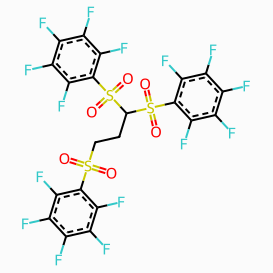 O=S(=O)(CCC(S(=O)(=O)c1c(F)c(F)c(F)c(F)c1F)S(=O)(=O)c1c(F)c(F)c(F)c(F)c1F)c1c(F)c(F)c(F)c(F)c1F